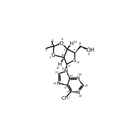 CC1(C)O[C@@H]2[C@H](O1)[C@@H](CO)S[C@H]2n1cnc2c(Cl)ncnc21